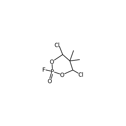 CC1(C)C(Cl)OP(=O)(F)OC1Cl